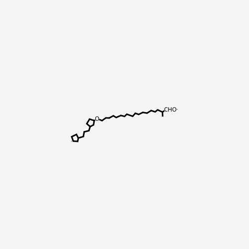 CC([C]=O)CCCCCCCCCCCCCCCCOC1CCC(CCCC2C[CH]CC2)C1